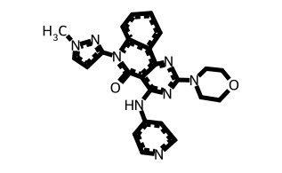 Cn1ccc(-n2c(=O)c3c(Nc4ccncc4)nc(N4CCOCC4)nc3c3ccccc32)n1